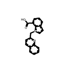 O=C(O)c1cccc2ccn(Cc3ccc4ccccc4n3)c12